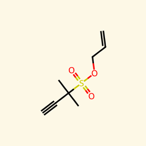 C#CC(C)(C)S(=O)(=O)OCC=C